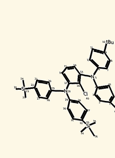 CC(C)(C)c1ccc(N(c2ccc(C(C)(C)C)cc2)c2cccc(N(c3ccc([Si](C)(C)C)cc3)c3ccc([Si](C)(C)C)cc3)c2Cl)cc1